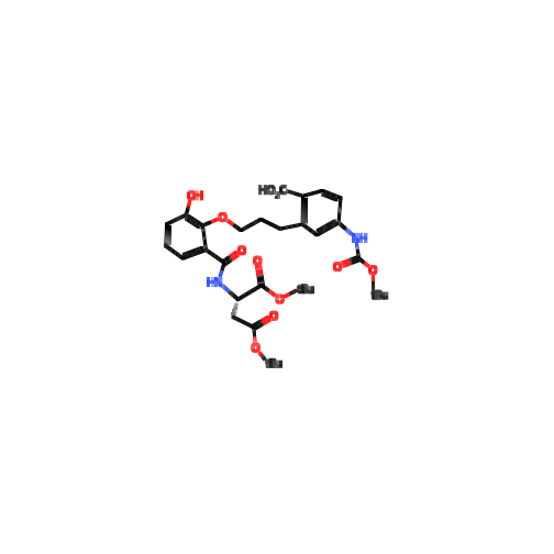 CC(C)(C)OC(=O)C[C@H](NC(=O)c1cccc(O)c1OCCCc1cc(NC(=O)OC(C)(C)C)ccc1C(=O)O)C(=O)OC(C)(C)C